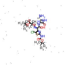 CC(C)(C)OC(=O)Nc1nc(/C(=N/OC(C)(C)C(=O)OC(C)(C)C)C(O)NC2C(=O)N[C@H]2CN)c(Cl)s1